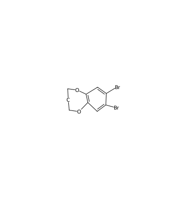 Brc1cc2c(cc1Br)OCCCO2